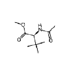 COC(=O)[C@@H](NC(C)=O)C(C)(C)C